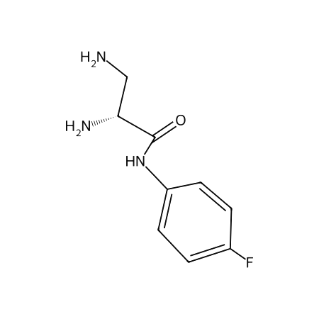 NC[C@@H](N)C(=O)Nc1ccc(F)cc1